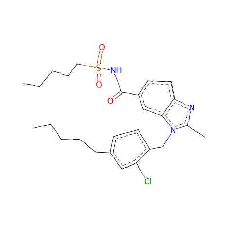 CCCCCc1ccc(Cn2c(C)nc3ccc(C(=O)NS(=O)(=O)CCCCC)cc32)c(Cl)c1